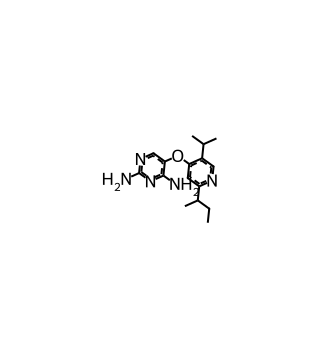 CCC(C)c1cc(Oc2cnc(N)nc2N)c(C(C)C)cn1